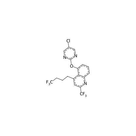 FC(F)(F)CCCc1cc(C(F)(F)F)nc2cccc(Oc3ncc(Cl)cn3)c12